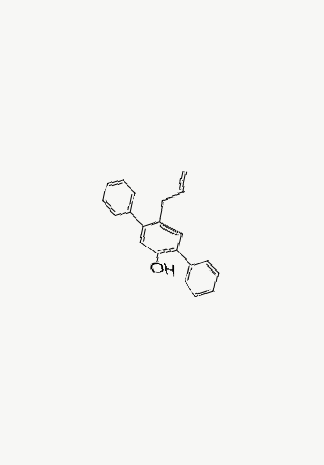 C=CCc1cc(-c2ccccc2)c(O)cc1-c1ccccc1